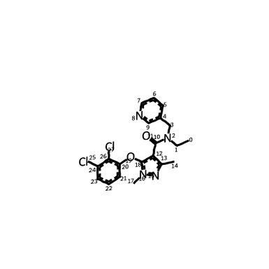 CCN(Cc1cccnc1)C(=O)c1c(C)nn(C)c1Oc1cccc(Cl)c1Cl